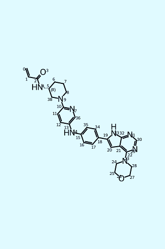 C=CC(=O)N[C@@H]1CCCN(c2ccc(Nc3ccc(-c4cc5c(N6CCOCC6)ncnc5[nH]4)cc3)cn2)C1